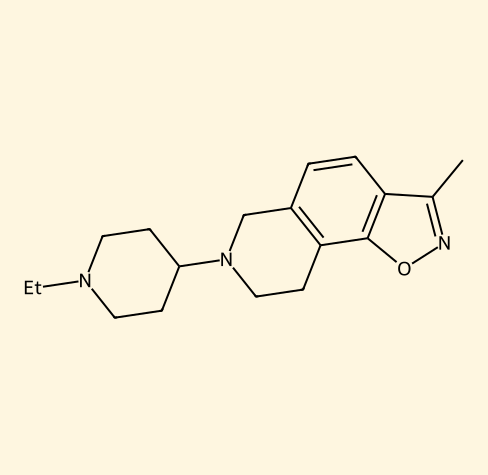 CCN1CCC(N2CCc3c(ccc4c(C)noc34)C2)CC1